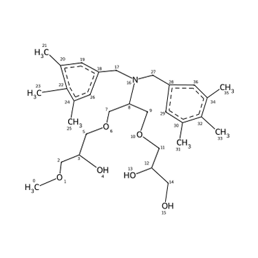 COCC(O)COCC(COCC(O)CO)N(Cc1cc(C)c(C)c(C)c1)Cc1cc(C)c(C)c(C)c1